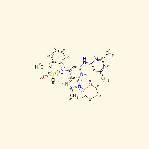 Cc1cc(Nc2cc(Nc3ccccc3N(C)S(C)(=O)=O)c3nc(C)n(C4CCCCO4)c3n2)nc(C)n1